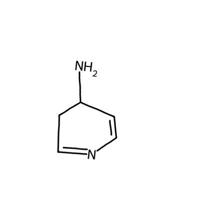 NC1C=CN=CC1